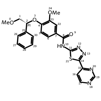 COC[C@H](Oc1ccc(C(=O)Nc2nnc(-c3ccncn3)s2)cc1OC)c1ccccc1